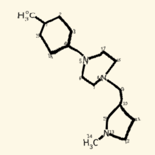 CC1CCC(N2CCN(CC3CCN(C)C3)CC2)CC1